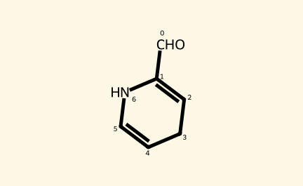 O=CC1=CCC=CN1